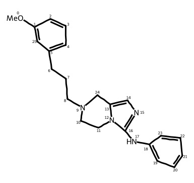 COc1cccc(CCCN2CCn3c(cnc3Nc3ccccc3)C2)c1